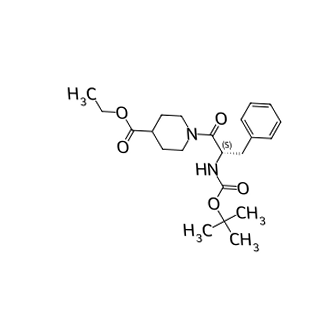 CCOC(=O)C1CCN(C(=O)[C@H](Cc2ccccc2)NC(=O)OC(C)(C)C)CC1